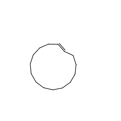 [CH]1C/C=C/CCCCCCCCCCC1